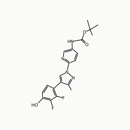 Cc1nn(-c2ccc(NC(=O)OC(C)(C)C)cn2)cc1-c1ccc(O)c(F)c1F